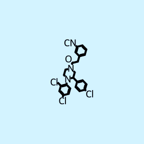 [C-]#[N+]c1cccc(CC(=O)N2CCN(c3ccc(Cl)cc3Cl)C(c3ccc(Cl)cc3)C2)c1